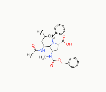 CC(=O)NC(CC(C)C)C1C(N(C)C(=O)OCc2ccccc2)C[C@@H](C(=O)O)N1Cc1ccccc1